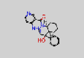 Nc1ccncc1C(=O)N1CCC(O)(c2ccccc2)[C@H]2CCCC[C@@H]21